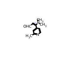 Cc1cc(/C(=C\C=O)N(C)C)ccn1